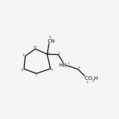 N#CC1(CNCC(=O)O)CCCCC1